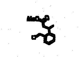 COC(=O)CC(C)c1ccccc1CCl